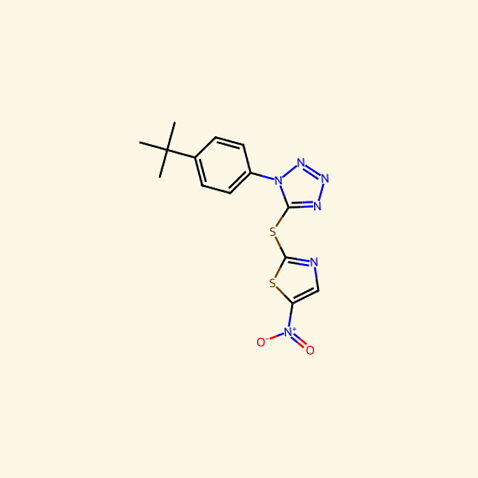 CC(C)(C)c1ccc(-n2nnnc2Sc2ncc([N+](=O)[O-])s2)cc1